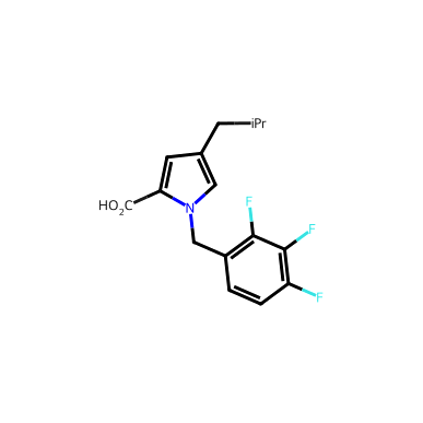 CC(C)Cc1cc(C(=O)O)n(Cc2ccc(F)c(F)c2F)c1